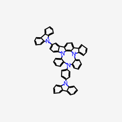 c1ccc2c(c1)c1ccccc1n2-c1ccc(-n2c3ccccc3n3c4ccccc4c4ccc5c6cc(-n7c8ccccc8c8ccccc87)ccc6n(c6ccccc62)c5c43)cc1